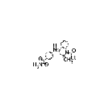 CCC(=O)N1c2ccccc2[C@H](Nc2ccc(S(N)(=O)=O)cc2)C[C@@H]1C